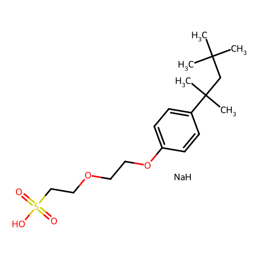 CC(C)(C)CC(C)(C)c1ccc(OCCOCCS(=O)(=O)O)cc1.[NaH]